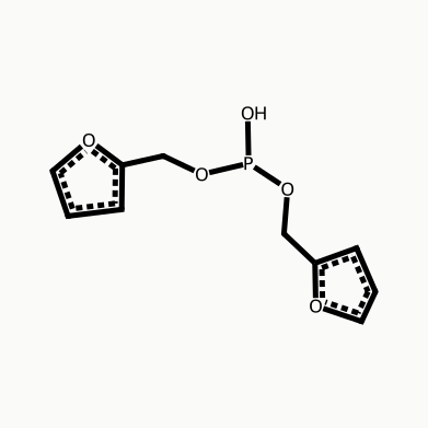 OP(OCc1ccco1)OCc1ccco1